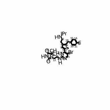 CC(C)NCCc1cc(-c2nc(NCCN3C(=O)NC(=O)C3(C)C)ncc2Br)sc1Cc1ccc(F)cc1